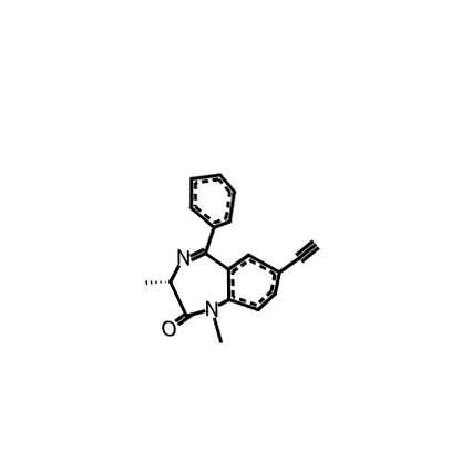 C#Cc1ccc2c(c1)C(c1ccccc1)=N[C@@H](C)C(=O)N2C